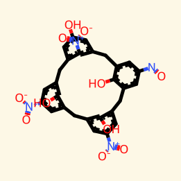 O=Nc1cc2c(O)c(c1)Cc1cc(O)cc(c1[N+](=O)[O-])Cc1cc([N+](=O)[O-])cc(c1O)Cc1cc([N+](=O)[O-])cc(c1O)C2